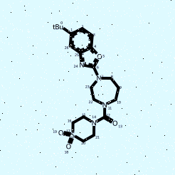 CC(C)(C)c1ccc2oc(N3CCCN(C(=O)N4CCS(=O)(=O)CC4)CC3)nc2c1